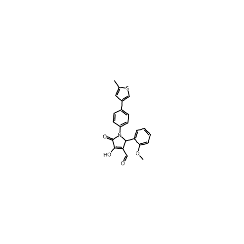 COc1ccccc1C1C(C=O)=C(O)C(=O)N1c1ccc(-c2csc(C)c2)cc1